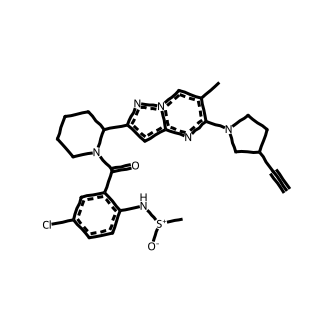 C#CC1CCN(c2nc3cc(C4CCCCN4C(=O)c4cc(Cl)ccc4N[S+](C)[O-])nn3cc2C)C1